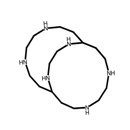 C1CNCCC2CCNCCNCCC(CCN1)NCCN2